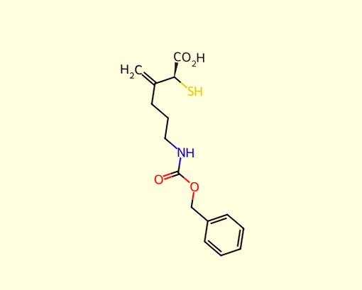 C=C(CCCNC(=O)OCc1ccccc1)[C@H](S)C(=O)O